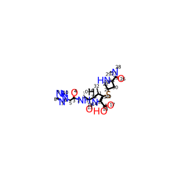 C[C@@H](NC(=O)Cn1ncnn1)[C@H]1C(=O)N2C(C(=O)O)=C(S[C@@H]3CNC(C(=O)N(C)C)C3)[C@H](C)[C@H]12